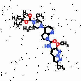 COc1nn2nc(C)cc2cc1NC(=O)N1CCc2c(N3C[C@@H](C)N(C(=O)OC(C)(C)C)[C@@H](C)C3)ccnc21